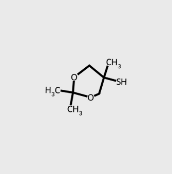 CC1(S)COC(C)(C)OC1